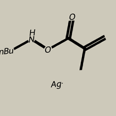 C=C(C)C(=O)ONCCCC.[Ag]